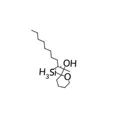 CCCCCCCC[C](C)C(C)(O)C1([SiH3])CCCCO1